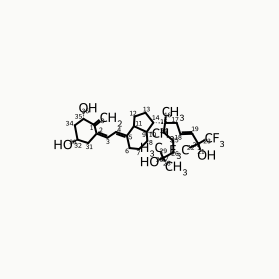 C=C1/C(=C\C=C2/CCC[C@@]3(C)C2CC[C@@H]3C(C)(C/C=C/C(O)(C(F)(F)F)C(F)(F)F)CCCC(C)(C)O)C[C@@H](O)C[C@@H]1O